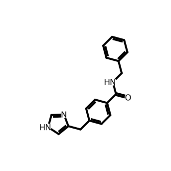 O=C(NCc1ccccc1)c1ccc(Cc2c[nH]cn2)cc1